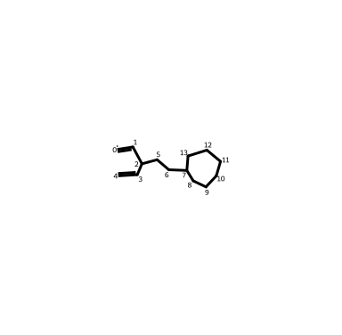 [CH]=CC(C=C)CCC1CCCCCC1